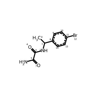 CC(NC(=O)C(N)=O)c1ccc(Br)cc1